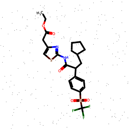 CCOC(=O)Cc1csc(NC(=O)C(CC2CCCC2)c2ccc(S(=O)(=O)C(F)(F)F)cc2)n1